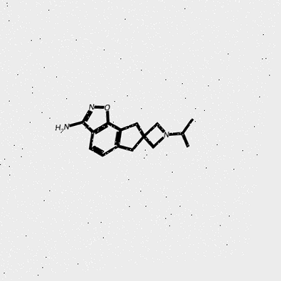 CC(C)N1CC2(Cc3ccc4c(N)noc4c3C2)C1